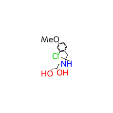 COc1ccc(CC(C)(C)NC[C@@H](O)CO)c(Cl)c1